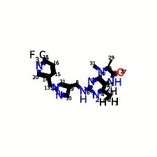 [2H]C([2H])([2H])c1nc(NCc2cnn(Cc3ccc(C(F)(F)F)nc3)c2)nc2c1NC(=O)[C@H](C)N2C